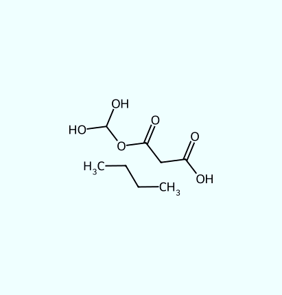 CCCC.O=C(O)CC(=O)OC(O)O